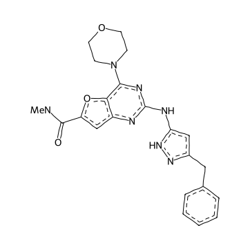 CNC(=O)c1cc2nc(Nc3cc(Cc4ccccc4)n[nH]3)nc(N3CCOCC3)c2o1